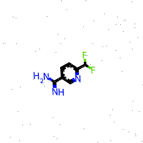 N=C(N)c1ccc(C(F)F)nc1